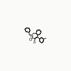 CSC1=C(c2cccc(C)c2)c2ccccc2CN(Cc2ccccc2)C1=O